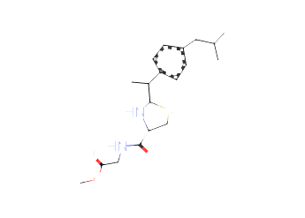 COC(=O)CNC(=O)[C@@H]1CSC(C(C)c2ccc(CC(C)C)cc2)N1